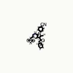 Cc1c(C(=O)CN2C3CCC2CC3)c(C)n(-c2ccc(C#N)cc2)c1/C=C\CCS(C)(=O)=O